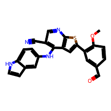 COc1ccc(C=O)cc1-c1cc2c(Nc3ccc4[nH]ccc4c3)c(C#N)cnc2s1